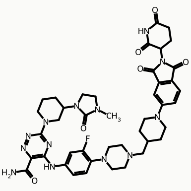 CN1CCN(C2CCCN(c3nnc(C(N)=O)c(Nc4ccc(N5CCN(CC6CCN(c7ccc8c(c7)C(=O)N(C7CCC(=O)NC7=O)C8=O)CC6)CC5)c(F)c4)n3)C2)C1=O